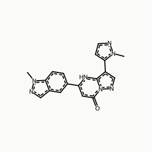 Cn1nccc1-c1cnn2c(=O)cc(-c3ccc4c(cnn4C)c3)[nH]c12